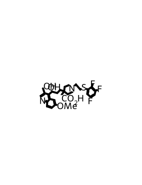 COc1ccc2ncc(CO)c([C@@H](O)CCC3(CC(=O)O)CCN(CCSc4cc(F)cc(F)c4F)CC3)c2c1